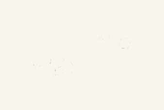 COC(=O)c1noc2c1C(=O)C(SCCCOCNC(=O)Oc1ccccc1)=CC2=O